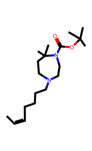 C/C=C\CCCCN1CCN(C(=O)OC(C)(C)C)C(C)(C)CC1